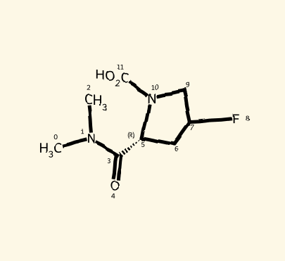 CN(C)C(=O)[C@H]1CC(F)CN1C(=O)O